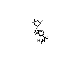 C[C@H]1C[C@@H](n2cnc3cc(C(N)=O)ccc32)CC(C)(C)C1